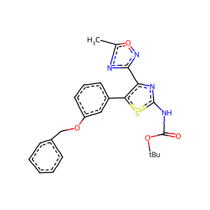 Cc1nc(-c2nc(NC(=O)OC(C)(C)C)sc2-c2cccc(OCc3ccccc3)c2)no1